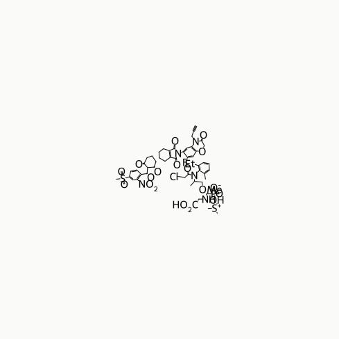 C#CCN1C(=O)COc2cc(F)c(N3C(=O)C4=C(CCCC4)C3=O)cc21.CCc1cccc(C)c1N(C(=O)CCl)C(C)COC.CS(=O)(=O)c1ccc(C(=O)C2C(=O)CCCC2=O)c([N+](=O)[O-])c1.C[S+](C)C.O=C(O)CNCP(=O)([O-])O